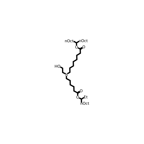 CCCCCCCCC(CC)OC(=O)CCCCCN(CCO)CCCCCCCC(=O)OC(CCCCCCCC)CCCCCCCC